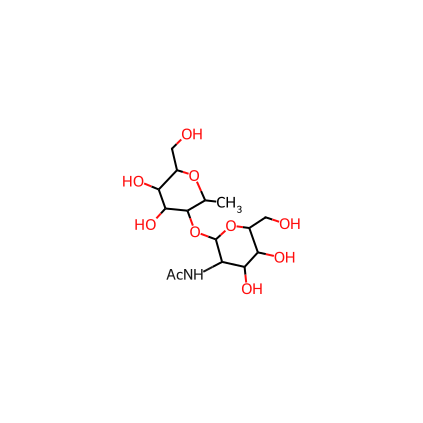 CC(=O)NC1C(OC2C(C)OC(CO)C(O)C2O)OC(CO)C(O)C1O